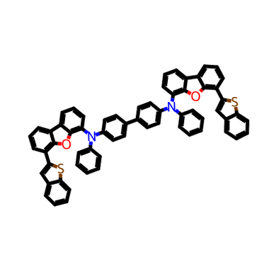 c1ccc(N(c2ccc(-c3ccc(N(c4ccccc4)c4cccc5c4oc4c(-c6cc7ccccc7s6)cccc45)cc3)cc2)c2cccc3c2oc2c(-c4cc5ccccc5s4)cccc23)cc1